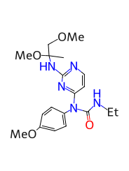 CCNC(=O)N(c1ccc(OC)cc1)c1ccnc(NC(C)(COC)OC)n1